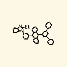 CCc1nc2ccccc2n1-c1cccc(-c2c3ccccc3c(-c3cc(-c4ccccc4)cc(-c4ccccc4)c3)c3ccccc23)c1